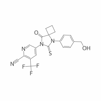 N#Cc1ncc(N2C(=O)C3(CCC3)N(c3ccc(CO)cc3)C2=S)cc1C(F)(F)F